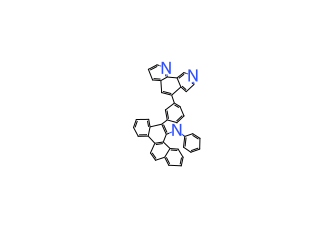 c1ccc(-n2c3ccc(-c4cc5cccnc5c5cnccc45)cc3c3c4ccccc4c4ccc5ccccc5c4c32)cc1